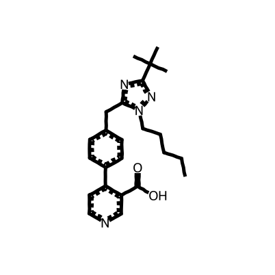 CCCCCn1nc(C(C)(C)C)nc1Cc1ccc(-c2ccncc2C(=O)O)cc1